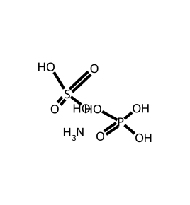 N.O=P(O)(O)O.O=S(=O)(O)O